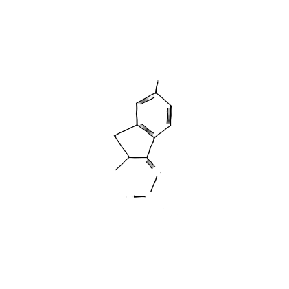 CC(C)(C)[S@+]([O-])/N=C1/c2ccc(Br)cc2CC1F